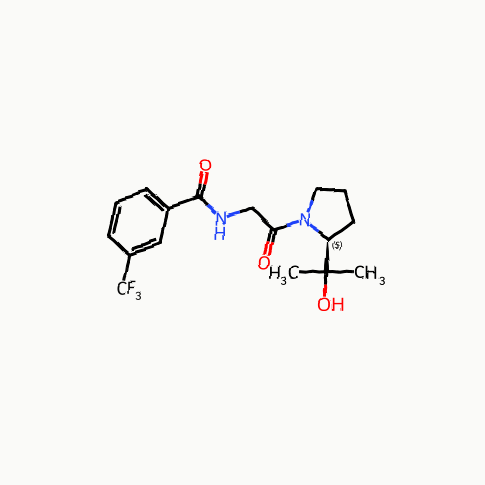 CC(C)(O)[C@@H]1CCCN1C(=O)CNC(=O)c1cccc(C(F)(F)F)c1